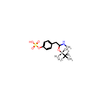 CNC(Cc1ccc(OS(=O)(=O)O)cc1)O[Si](C)(C)C(C)(C)C